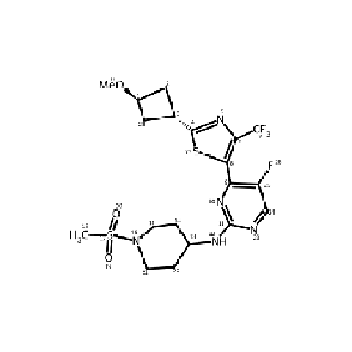 CO[C@H]1C[C@H](c2nc(C(F)(F)F)c(-c3nc(NC4CCN(S(C)(=O)=O)CC4)ncc3F)s2)C1